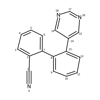 N#Cc1ccccc1-c1ccccc1-c1cncnc1